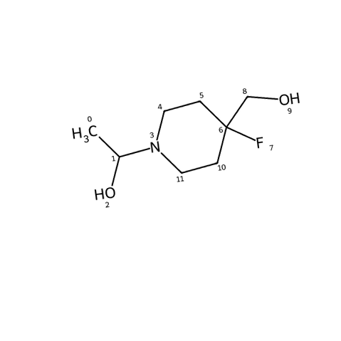 CC(O)N1CCC(F)(CO)CC1